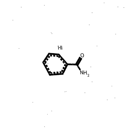 I.NC(=O)c1ccccc1